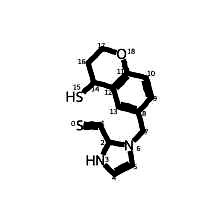 S=CC1NC=CN1Cc1ccc2c(c1)C(S)CCO2